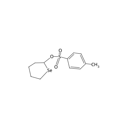 Cc1ccc(S(=O)(=O)OC2CCCC[Se]2)cc1